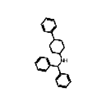 c1ccc(C2CCC(NC(c3ccccc3)c3ccccc3)CC2)cc1